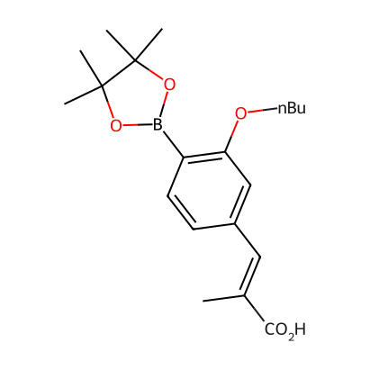 CCCCOc1cc(C=C(C)C(=O)O)ccc1B1OC(C)(C)C(C)(C)O1